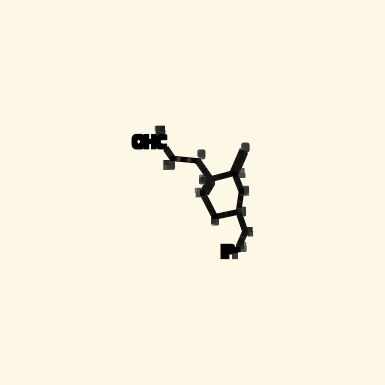 C=C1CC(CC(C)C)CC=C1CCC=O